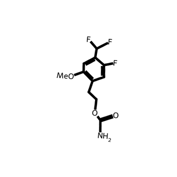 COc1cc(C(F)F)c(F)cc1CCOC(N)=O